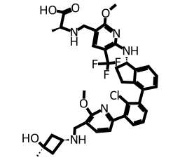 COc1nc(-c2cccc(-c3cccc4c3CC[C@@H]4Nc3nc(OC)c(CN[C@@H](C)C(=O)O)cc3C(F)(F)F)c2Cl)ccc1CN[C@H]1C[C@](C)(O)C1